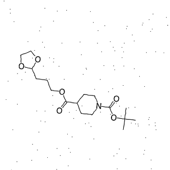 CC(C)(C)OC(=O)N1CCC(C(=O)OCCCC2OCCO2)CC1